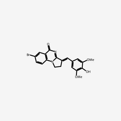 COc1cc(/C=C2\CCn3c2nc(=O)c2cc(Br)ccc23)cc(OC)c1O